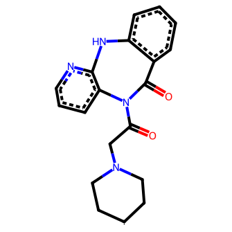 O=C(CN1CC[CH]CC1)N1C(=O)c2ccccc2Nc2ncccc21